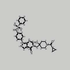 O=C(C1CC1)N1CCC(O)(Cn2cnc3c(cnn3-c3ccc(NS(=O)(=O)c4ccccc4)cc3)c2=O)CC1